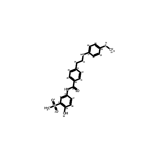 CS(=O)(=O)c1cc(NC(=O)c2ccc(CCSc3ccc(SC(F)(F)F)cc3)cc2)ccc1O